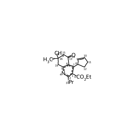 CCOC(=O)c1c(C(C)C)nc2c(c1C1C=CCC1)C(=O)CC(C)(C)C2